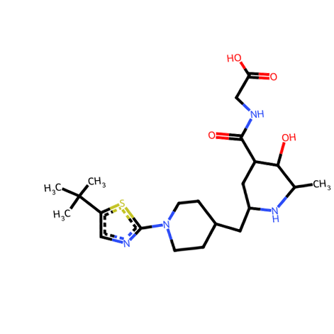 CC1NC(CC2CCN(c3ncc(C(C)(C)C)s3)CC2)CC(C(=O)NCC(=O)O)C1O